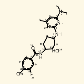 Cc1cc(N(C)C)nc(NC2CCC(NC(=O)c3ccc(Cl)c(F)c3)CC2)n1.Cl